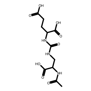 CC(=O)NC(CNC(=O)NC(CCC(=O)O)C(=O)O)C(=O)O